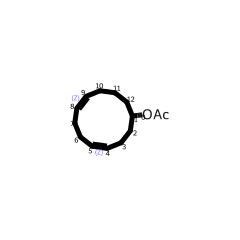 CC(=O)OC1CC/C=C\CC/C=C\CCC1